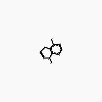 Cc1cccc2c1[CH]C=CC2C